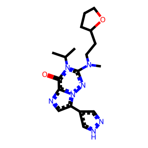 CC(C)n1c(N(C)CCC2CCCO2)nn2c(-c3cn[nH]c3)cnc2c1=O